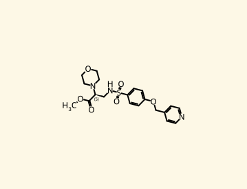 COC(=O)[C@H](CNS(=O)(=O)c1ccc(OCc2ccncc2)cc1)N1CCOCC1